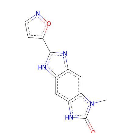 Cn1c(=O)[nH]c2cc3[nH]c(-c4ccno4)nc3cc21